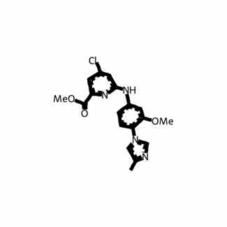 COC(=O)c1cc(Cl)cc(Nc2ccc(-n3cnc(C)c3)c(OC)c2)n1